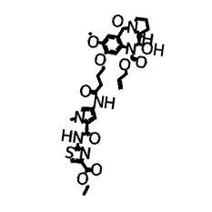 C=CCOC(=O)N1c2cc(OCCCC(=O)Nc3cc(C(=O)Nc4nc(C(=O)OCC)cs4)n(C)c3)c(OC)cc2C(=O)N2CCC[C@H]2C1O